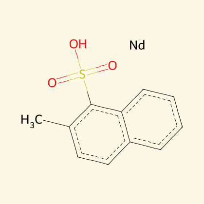 Cc1ccc2ccccc2c1S(=O)(=O)O.[Nd]